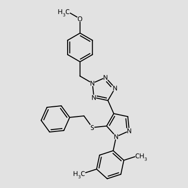 COc1ccc(Cn2nnc(-c3cnn(-c4cc(C)ccc4C)c3SCc3ccccc3)n2)cc1